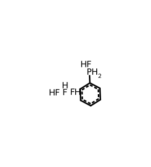 F.F.F.F.Pc1ccccc1